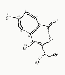 CC(O)c1oc(=O)c2ccc(Cl)cc2c1Br